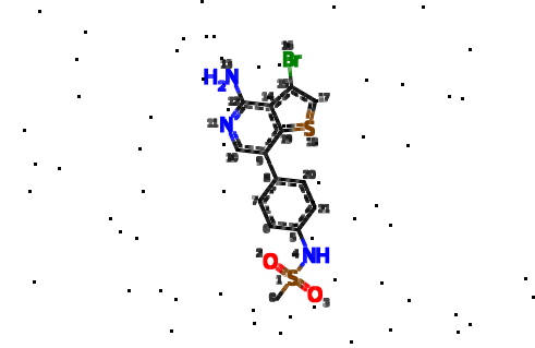 CS(=O)(=O)Nc1ccc(-c2cnc(N)c3c(Br)csc23)cc1